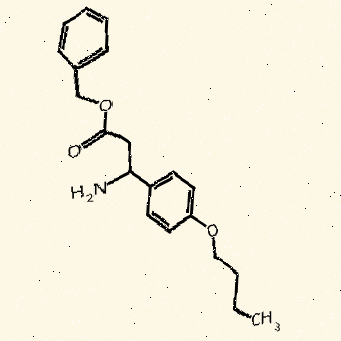 CCCCOc1ccc(C(N)CC(=O)OCc2ccccc2)cc1